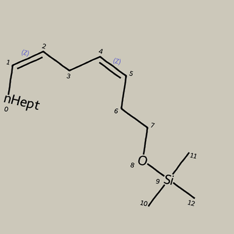 CCCCCCC/C=C\C/C=C\CCO[Si](C)(C)C